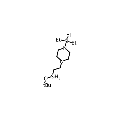 CC[Si](CC)(CC)N1CCN(CC[SiH2]OC(C)(C)C)CC1